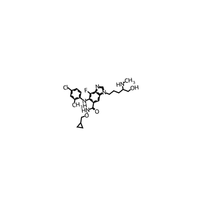 CNC(CO)CCCn1cnc2c(F)c(Nc3ccc(Cl)cc3C)c(C(=O)NOCC3CC3)cc21